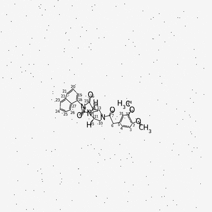 COc1ccc(CC(=O)N2C[C@H]3CC2[C@H]2C(=O)N(c4cccc5ccccc45)C(=O)N32)cc1OC